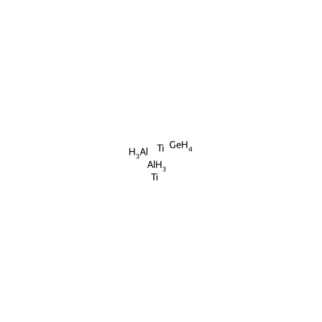 [AlH3].[AlH3].[GeH4].[Ti].[Ti]